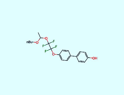 CCCCOC(C)OC(F)(F)C(F)(F)Oc1ccc(-c2ccc(O)cc2)cc1